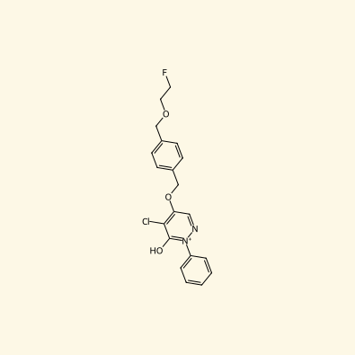 Oc1c(Cl)c(OCc2ccc(COCCF)cc2)cn[n+]1-c1ccccc1